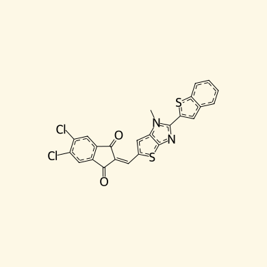 Cn1c(-c2cc3ccccc3s2)nc2sc(C=C3C(=O)c4cc(Cl)c(Cl)cc4C3=O)cc21